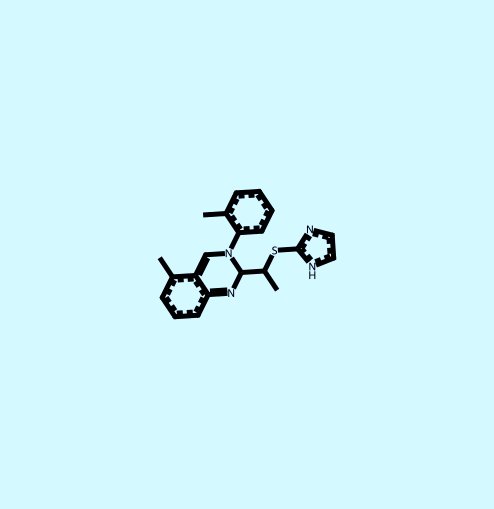 Cc1ccccc1N1C=c2c(C)cccc2=NC1C(C)Sc1ncc[nH]1